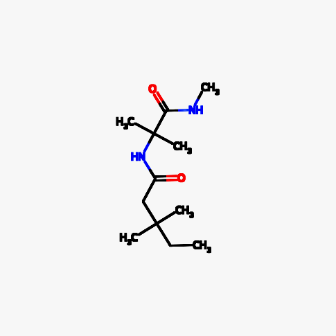 CCC(C)(C)CC(=O)NC(C)(C)C(=O)NC